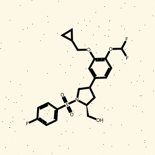 O=S(=O)(c1ccc(F)cc1)N1CC(c2ccc(OC(F)F)c(OCC3CC3)c2)C[C@H]1CO